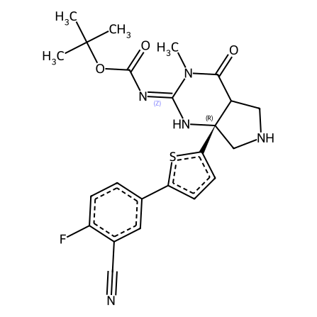 CN1C(=O)C2CNC[C@]2(c2ccc(-c3ccc(F)c(C#N)c3)s2)N/C1=N/C(=O)OC(C)(C)C